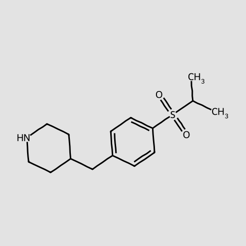 CC(C)S(=O)(=O)c1ccc(CC2CCNCC2)cc1